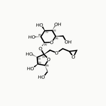 OC[C@H]1O[C@@](COCC2CO2)(O[C@H]2O[C@H](CO)[C@@H](O)[C@H](O)[C@H]2O)[C@@H](O)[C@@H]1O